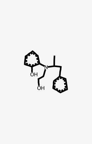 CC(Cc1ccccc1)N(CCO)c1ccccc1O